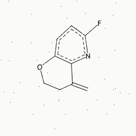 C=C1CCOc2ccc(F)nc21